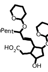 CCCCCC(C=CC1C(OC2CCCCO2)CC(O)C1CC(=O)O)OC1CCCCO1